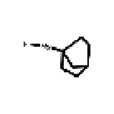 [Br][Mg][C]12CCC(CC1)C2